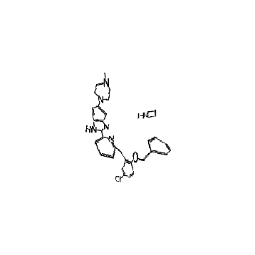 CN1CCN(c2ccc3[nH]c(-c4cccc(Cc5cc(Cl)ccc5OCc5ccccc5)n4)nc3c2)CC1.Cl